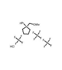 CCC[N+]1(COC)CCCC1.Cl.F[B-](F)(F)F.F[B-](F)(F)F.F[B-](F)(F)F